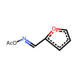 CC(=O)O/N=C/c1ccco1